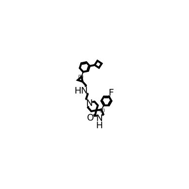 O=C1NC[C@H](c2ccc(F)cc2)C12CCN(CCNCC1C[C@H]1C1C=C(C3CCC3)C=CC1)CC2